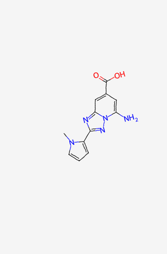 Cn1cccc1-c1nc2cc(C(=O)O)cc(N)n2n1